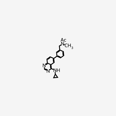 CC(=O)N(C)Cc1cccc(-c2ccc3ncnc(NC4CC4)c3c2)c1